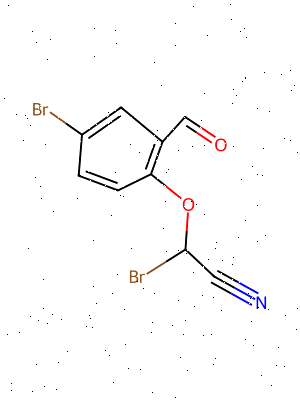 N#CC(Br)Oc1ccc(Br)cc1C=O